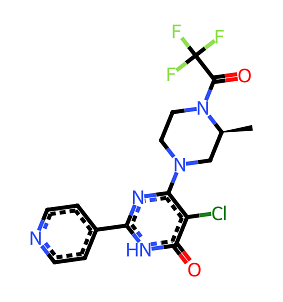 C[C@H]1CN(c2nc(-c3ccncc3)[nH]c(=O)c2Cl)CCN1C(=O)C(F)(F)F